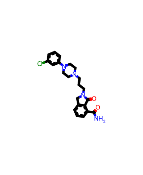 NC(=O)c1cccc2c1C(=O)N(CCCN1CCN(c3cccc(Cl)c3)CC1)C2